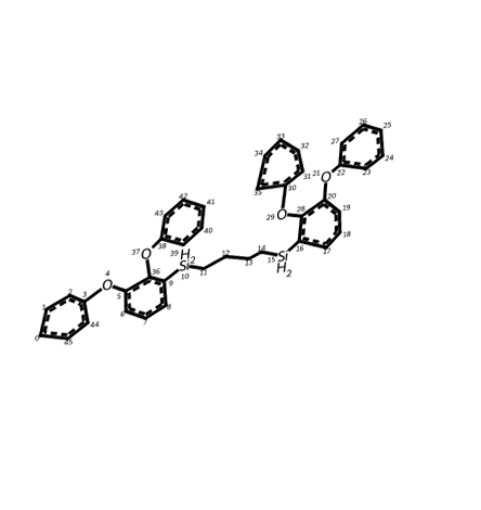 c1ccc(Oc2cccc([SiH2]CCCC[SiH2]c3cccc(Oc4ccccc4)c3Oc3ccccc3)c2Oc2ccccc2)cc1